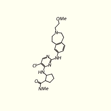 CNC(=O)C1CCCC1Nc1nc(Nc2ccc3c(c2)CCN(CCOC)CC3)ncc1Cl